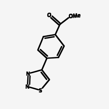 COC(=O)c1ccc(-c2csnn2)cc1